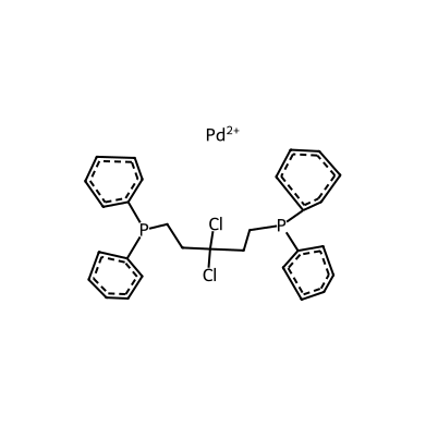 ClC(Cl)(CCP(c1ccccc1)c1ccccc1)CCP(c1ccccc1)c1ccccc1.[Pd+2]